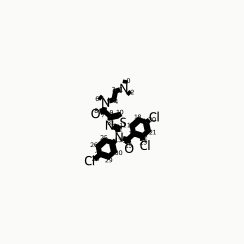 CN(C)CCN(C)C(=O)c1csc(N(C(=O)c2ccc(Cl)cc2Cl)c2ccc(Cl)cc2)n1